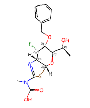 C[C@H](O)[C@H]1O[C@@H]2SC(N(C)C(=O)O)=N[C@@H]2[C@H](F)[C@@H]1OCc1ccccc1